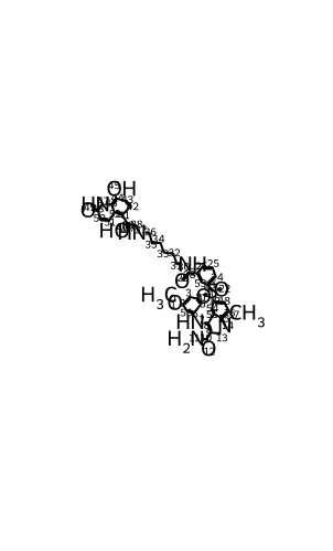 COc1cccc(Nc2c(C(N)=O)cnc3c(C)cc(S(=O)(=O)c4cccc(C(=O)NCCCCCCNC[C@H](O)c5ccc(O)c6[nH]c(=O)ccc56)c4)cc23)c1